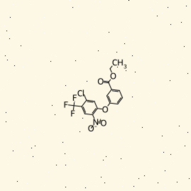 CCOC(=O)c1cccc(Oc2cc(Cl)c(C(F)(F)F)cc2[N+](=O)[O-])c1